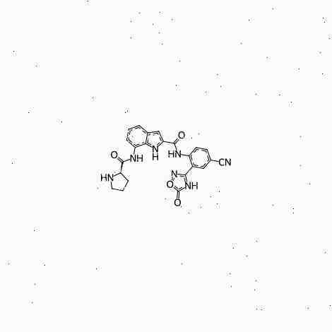 N#Cc1ccc(NC(=O)c2cc3cccc(NC(=O)[C@H]4CCCN4)c3[nH]2)c(-c2noc(=O)[nH]2)c1